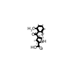 Cc1cccc(F)c1C(=O)c1c[nH]c(C(=O)O)c1